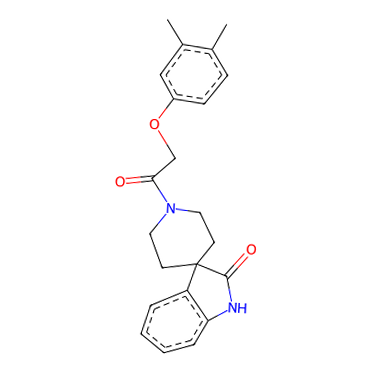 Cc1ccc(OCC(=O)N2CCC3(CC2)C(=O)Nc2ccccc23)cc1C